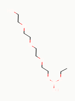 CCOB(O)OCCOCCOCCOCCO